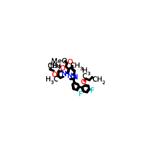 C=CCOC1(C)CCN(c2c(C(OC(C)(C)C)C(=O)OC)c(C)cc3nc(-c4cccc(-c5c(F)cc(F)cc5OC(C)CC=C)c4)cn23)CC1